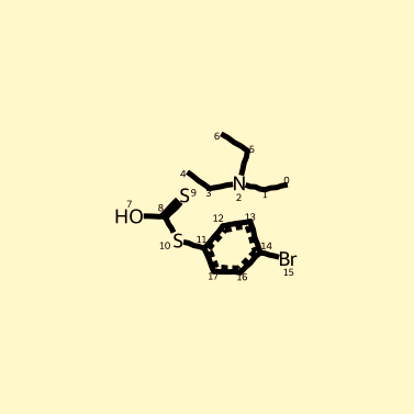 CCN(CC)CC.OC(=S)Sc1ccc(Br)cc1